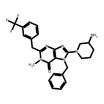 Cn1c(Cc2cccc(C(F)(F)F)c2)nc2nc(N3CCCC(N)C3)n(Cc3ccccc3)c2c1=O